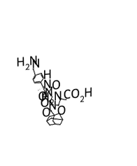 C[C@]1(c2ccc(C=NN)cc2)NC(=O)N(CC(=O)N(C(=O)[C@@H](N)CC(=O)O)C(=O)C23CC4CC(CC(C4)C2)C3)C1=O